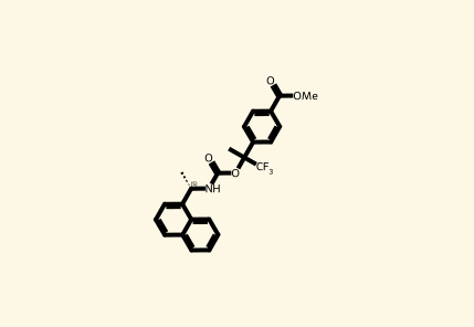 COC(=O)c1ccc(C(C)(OC(=O)N[C@@H](C)c2cccc3ccccc23)C(F)(F)F)cc1